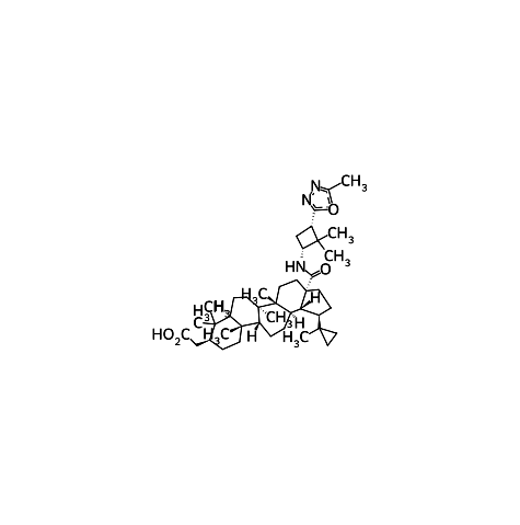 Cc1nnc([C@H]2C[C@@H](NC(=O)[C@]34CC[C@@H](C5(C)CC5)[C@@H]3[C@H]3CC[C@@H]5[C@]6(C)CC[C@@H](CC(=O)O)C(C)(C)[C@H]6CC[C@@]5(C)[C@]3(C)CC4)C2(C)C)o1